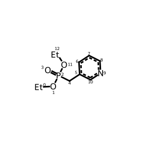 CCOP(=O)(Cc1cccnc1)OCC